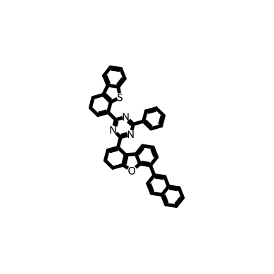 C1=C(c2nc(C3=CCCc4oc5c(-c6ccc7ccccc7c6)cccc5c43)nc(-c3ccccc3)n2)c2sc3ccccc3c2CC1